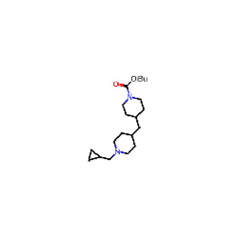 CC(C)COC(=O)N1CCC(CC2CCN(CC3CC3)CC2)CC1